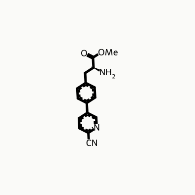 COC(=O)[C@@H](N)Cc1ccc(-c2ccc(C#N)nc2)cc1